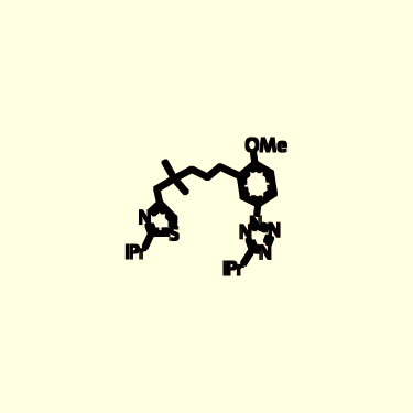 COc1ccc(-n2nnc(C(C)C)n2)cc1CCCC(C)(C)Cc1csc(C(C)C)n1